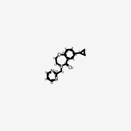 O=C1c2cc(C3CC3)ccc2OCCN1Cc1ncccn1